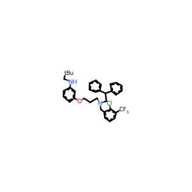 CC(C)(C)CNc1cccc(OCCCN(Cc2cccc(C(F)(F)F)c2Cl)CC(c2ccccc2)c2ccccc2)c1